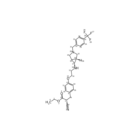 CCOC(=O)[C@H](C#N)Cc1ccc(OCCN[C@H]2C3CN(Cc4ccc(C(F)(F)F)cc4)C[C@@H]32)cc1